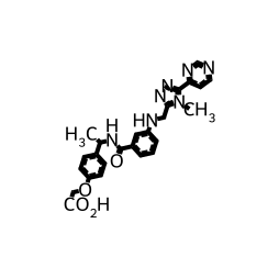 CC(NC(=O)c1cccc(NCc2nnc(-c3ccncn3)n2C)c1)c1ccc(OCC(=O)O)cc1